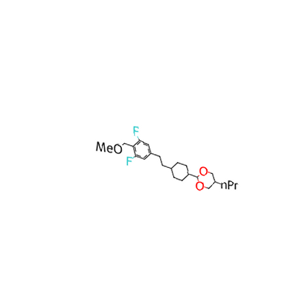 CCCC1COC(C2CCC(CCc3cc(F)c(COC)c(F)c3)CC2)OC1